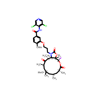 COc1ccc(C(=O)Nc2c(Cl)cncc2Cl)cc1OCCCN1C(=O)O[C@]2(C)[C@@H](I)OC(=O)[C@H](C)C[C@H](C)C[C@](C)(OC)C[C@@H](C)C(=O)[C@H](C)[C@@H]12